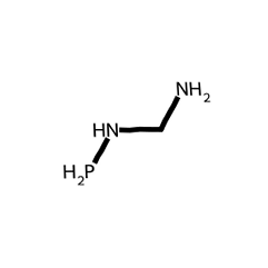 NCNP